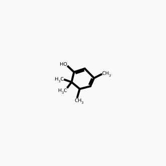 CC1=CC(C)C(C)(C)C(O)=C1